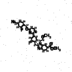 COCCn1c(Cc2ccc(-c3nccc(OCc4ccc(C#N)cc4F)n3)cc2F)nc2ccc(C(=O)OC)cc21